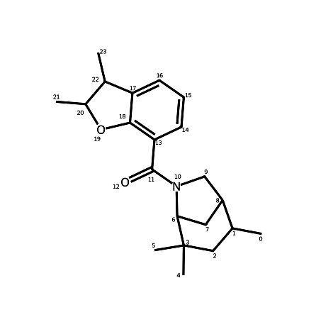 CC1CC(C)(C)C2CC1CN2C(=O)c1cccc2c1OC(C)C2C